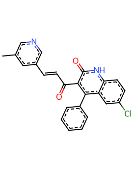 Cc1cncc(/C=C/C(=O)c2c(-c3ccccc3)c3cc(Cl)ccc3[nH]c2=O)c1